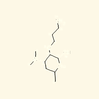 CC1C[C@H](N(C)C)[C@@H](OCCCN)[C@H](O)O1